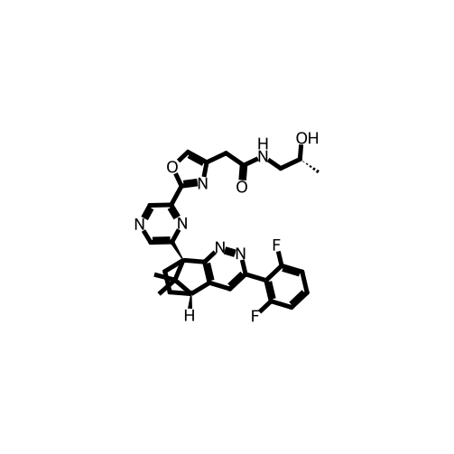 C[C@@H](O)CNC(=O)Cc1coc(-c2cncc([C@@]34CC[C@@H](c5cc(-c6c(F)cccc6F)nnc53)C4(C)C)n2)n1